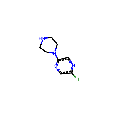 Clc1cnc(N2CCNCC2)cn1